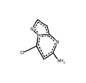 Nc1cc(Cl)n2nccc2n1